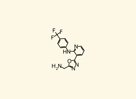 NCc1nnc(-c2cccnc2Nc2ccc(C(F)(F)F)cc2)o1